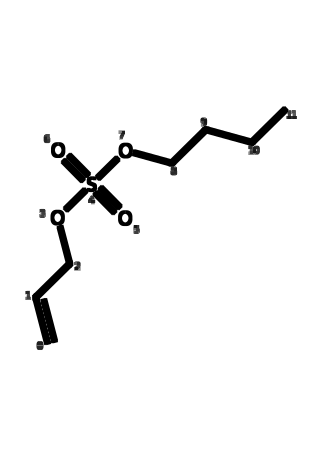 C=CCOS(=O)(=O)OCCCC